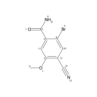 COc1cc(C(N)=O)c(Br)cc1C#N